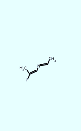 C/C=N/C=C(\C)F